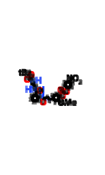 COc1cc(/C=C/C(=O)Nc2ccccc2C(=O)NCCNC(=O)OC(C)(C)C)ccc1OC(=O)Oc1ccc([N+](=O)[O-])cc1